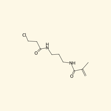 C=C(C)C(=O)NCCCNC(=O)CCCl